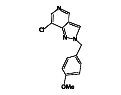 COc1ccc(Cn2cc3cncc(Cl)c3n2)cc1